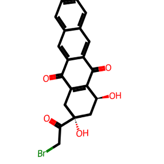 O=C1C2=C(C(=O)c3cc4ccccc4cc31)[C@@H](O)C[C@@](O)(C(=O)CBr)C2